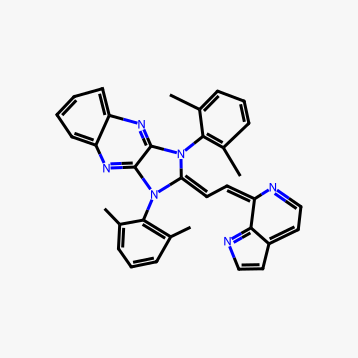 Cc1cccc(C)c1N1C(=C/C=c2/nccc3c2=NC=C3)N(c2c(C)cccc2C)c2nc3ccccc3nc21